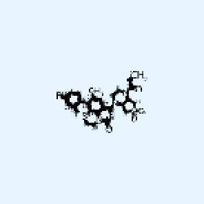 C=CC(=O)N1CCN(c2nc(=O)n3c4c(c(-c5ccc(F)cc5F)c(C)cc24)SCC3)C2CS(=O)(=O)CC21